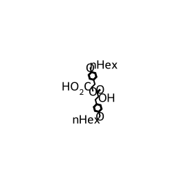 CCCCCCOc1ccc(CC(O)C(=O)OC(Cc2ccc(OCCCCCC)cc2)C(=O)O)cc1